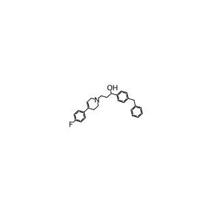 OC(CCN1CC=C(c2ccc(F)cc2)CC1)c1ccc(Cc2ccccc2)cc1